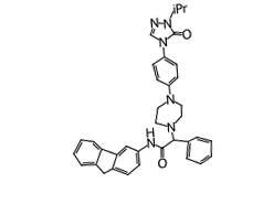 CC(C)n1ncn(-c2ccc(N3CCN(C(C(=O)Nc4ccc5c(c4)-c4ccccc4C5)c4ccccc4)CC3)cc2)c1=O